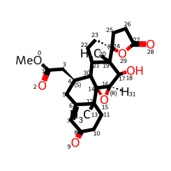 COC(=O)C[C@@H]1CC2=CC(=O)CCC2(C)[C@@]23O[C@@H]2C(O)C2(C)C(CC[C@@]24CCC(=O)O4)C13